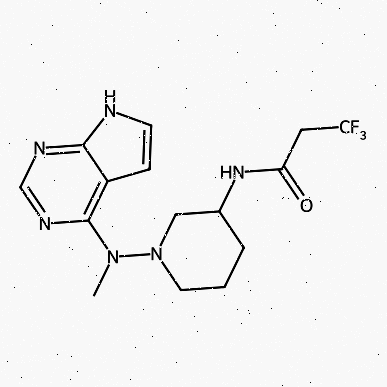 CN(c1ncnc2[nH]ccc12)N1CCCC(NC(=O)CC(F)(F)F)C1